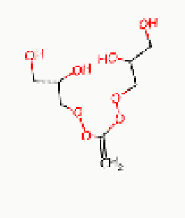 C=C(OOCC(O)CO)OOCC(O)CO